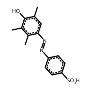 Cc1cc(/N=N/c2ccc(S(=O)(=O)O)cc2)c(C)c(C)c1O